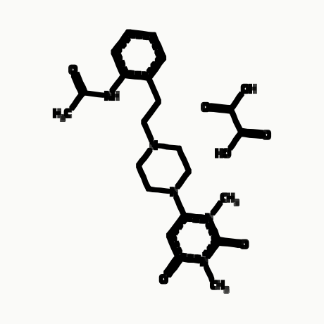 CC(=O)Nc1ccccc1CCN1CCN(c2cc(=O)n(C)c(=O)n2C)CC1.O=C(O)C(=O)O